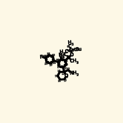 CC(C)(O[Si](C)(C)C(C)(C)C)c1cc(C2(CN)CCCCO2)nc(-c2ccc(F)cc2)c1F